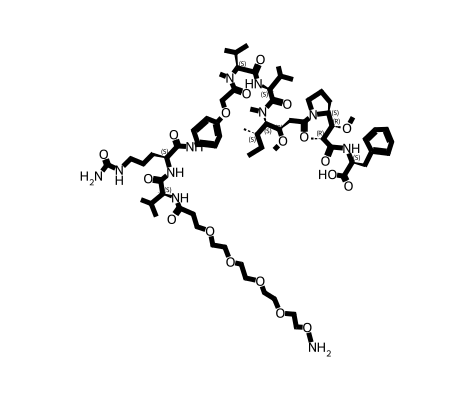 CC[C@H](C)[C@@H]([C@@H](CC(=O)N1CCC[C@H]1[C@H](OC)[C@@H](C)C(=O)N[C@@H](Cc1ccccc1)C(=O)O)OC)N(C)C(=O)[C@@H](NC(=O)[C@H](C(C)C)N(C)C(=O)COc1ccc(NC(=O)[C@H](CCCNC(N)=O)NC(=O)[C@@H](NC(=O)CCOCCOCCOCCOCCON)C(C)C)cc1)C(C)C